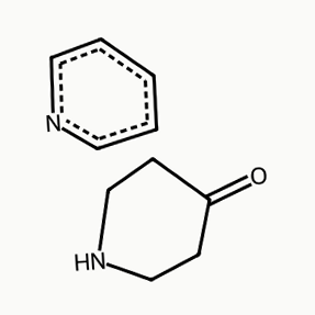 O=C1CCNCC1.c1ccncc1